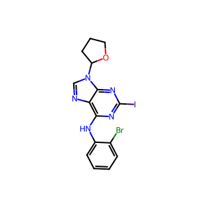 Brc1ccccc1Nc1nc(I)nc2c1ncn2C1CCCO1